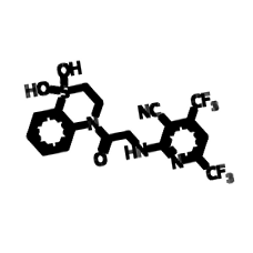 N#Cc1c(C(F)(F)F)cc(C(F)(F)F)nc1NCC(=O)N1CCS(O)(O)c2ccccc21